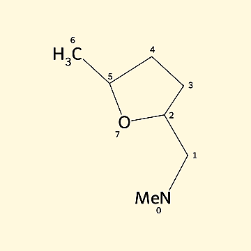 CNCC1CCC(C)O1